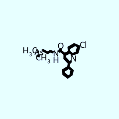 C[As](C)CCCNC(=O)c1cc(-c2ccccc2)nc2cc(Cl)ccc12